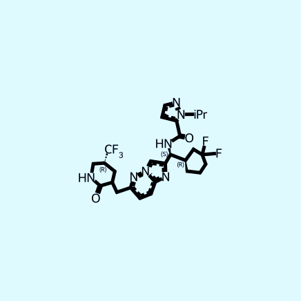 CC(C)n1nccc1C(=O)N[C@H](c1cn2nc(CC3C[C@@H](C(F)(F)F)CNC3=O)ccc2n1)[C@@H]1CCCC(F)(F)C1